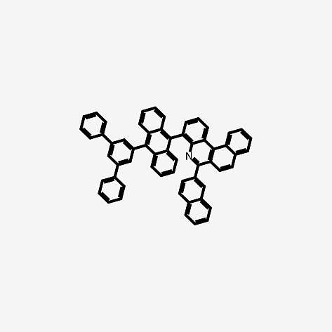 c1ccc(-c2cc(-c3ccccc3)cc(-c3c4ccccc4c(-c4cccc5c4nc(-c4ccc6ccccc6c4)c4ccc6ccccc6c45)c4ccccc34)c2)cc1